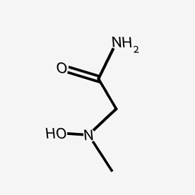 CN(O)CC(N)=O